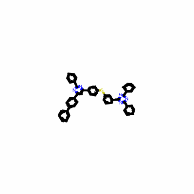 c1ccc(-c2ccc(-c3cc(-c4ccc(Sc5cccc(-c6nc(-c7ccccc7)nc(-c7ccccc7)n6)c5)cc4)nc(-c4ccccc4)n3)cc2)cc1